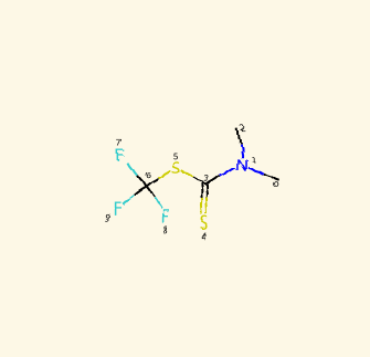 CN(C)C(=S)SC(F)(F)F